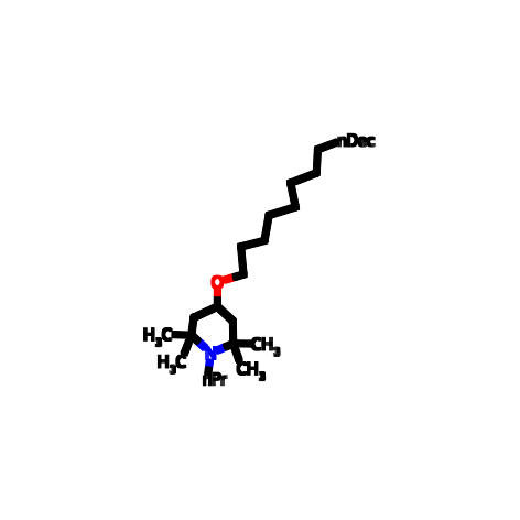 CCCCCCCCCCCCCCCCCCOC1CC(C)(C)N(CCC)C(C)(C)C1